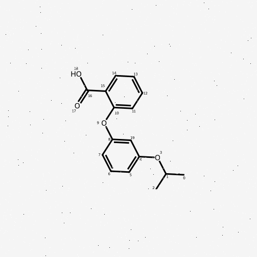 CC(C)Oc1cccc(Oc2ccccc2C(=O)O)c1